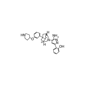 Nc1nnc(-c2ccccc2O)cc1N1C[C@@H]2CC3[C@H](C1)CC3(c1cccc(OC3CCNCC3)c1)C2